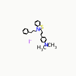 CN(C)c1ccc(/C=C/c2sc3ccccc3[n+]2CCCc2ccccc2)cc1.[I-]